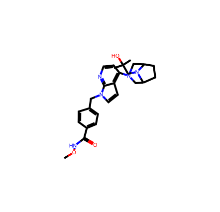 CONC(=O)c1ccc(Cn2ccc3c(N4CC5CCC(C4)N5CC(C)(C)O)ccnc32)cc1